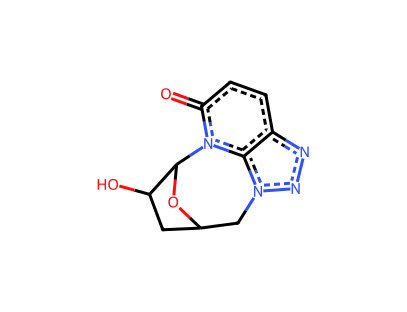 O=c1ccc2nnn3c2n1C1OC(CC1O)C3